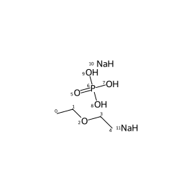 CCOCC.O=P(O)(O)O.[NaH].[NaH]